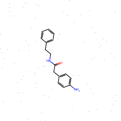 Nc1ccc(CC(=O)NCCc2ccccc2)cc1